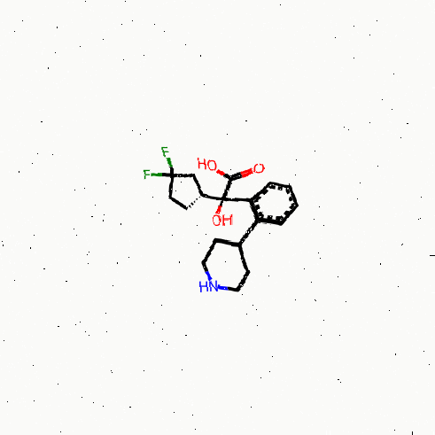 O=C(O)[C@](O)(c1ccccc1C1CCNCC1)[C@@H]1CCC(F)(F)C1